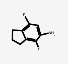 Nc1cc(F)c2c(c1F)CCC2